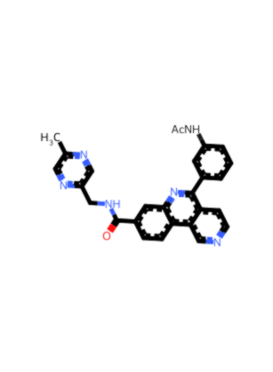 CC(=O)Nc1cccc(-c2nc3cc(C(=O)NCc4cnc(C)cn4)ccc3c3cnccc23)c1